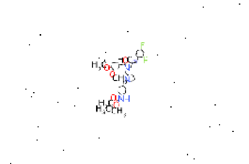 COc1ccc(C(=O)N(C/C(C)=C/c2ccc(F)cc2F)CC2CCCN2CC2CCC(NC(=O)OC(C)(C)C)CC2)cc1OC